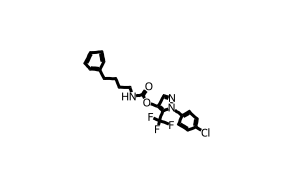 O=C(NCCCCc1ccccc1)Oc1cnn(-c2ccc(Cl)cc2)c1C(F)(F)F